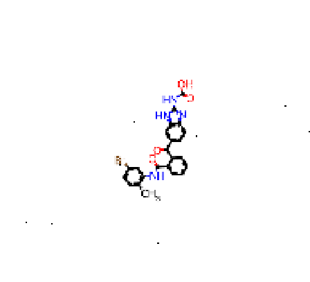 Cc1ccc(Br)cc1NC(=O)c1ccccc1C(=O)c1ccc2nc(NC(=O)O)[nH]c2c1